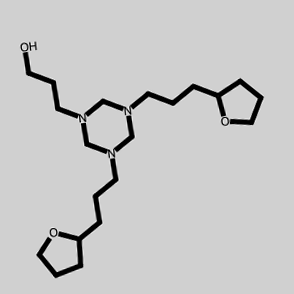 OCCCN1CN(CCCC2CCCO2)CN(CCCC2CCCO2)C1